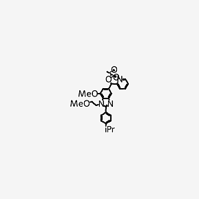 COCCn1c(-c2ccc(C(C)C)cc2)nc2cc(C(OS(C)(=O)=O)c3ccccn3)cc(OC)c21